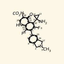 CN1Cc2ccc(-c3c(F)c(C4(N)CC4)c4c(=O)c(C(=O)O)c[nH]c4c3F)cc2C1